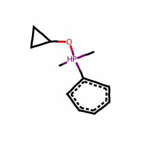 C[PH](C)(OC1CC1)c1ccccc1